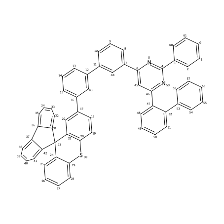 c1ccc(-c2nc(-c3cccc(-c4cccc(-c5ccc6c(c5)C5(c7ccccc7S6)c6ccccc6-c6ccccc65)c4)c3)cc(-c3ccccc3-c3ccccc3)n2)cc1